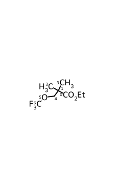 CCOC(=O)C(C)(C)COC(F)(F)F